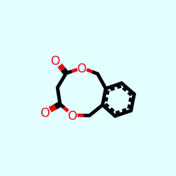 O=C1CC(=O)OCc2ccccc2CO1